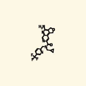 Nc1nc2cnc(C(=O)N(Cc3ccc(C(F)(F)F)cn3)CC3CC3)cc2c2c1COC2